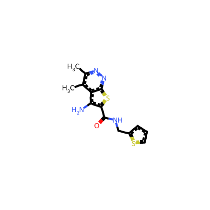 Cc1nnc2sc(C(=O)NCc3cccs3)c(N)c2c1C